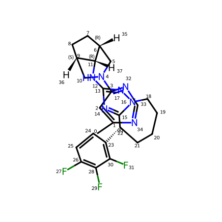 Cc1cc(N2C[C@H]3CC[C@@H](C2)[C@H]3Nc2nc3n(n2)CCCC[C@@H]3c2ccc(F)c(F)c2F)ncn1